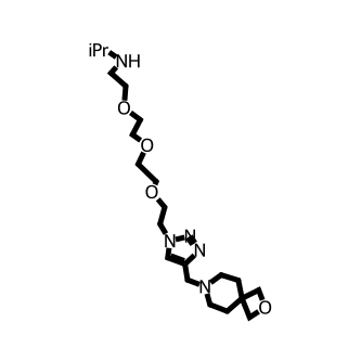 CC(C)NCCOCCOCCOCCn1cc(CN2CCC3(CC2)COC3)nn1